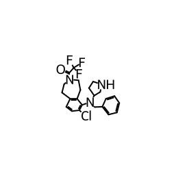 O=C(N1CCc2ccc(Cl)c(N(Cc3ccccc3)C3CCNC3)c2CC1)C(F)(F)F